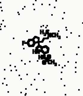 CN(C)CCCC1(c2c[nH]c3c(NS(C)(=O)=O)cccc23)CCc2cc(F)ccc21